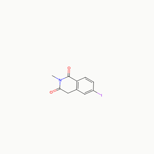 CN1C(=O)Cc2cc(I)ccc2C1=O